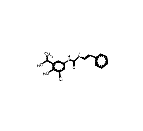 CC(O)c1cc(NC(=O)NC=Cc2ccccc2)cc(Cl)c1O